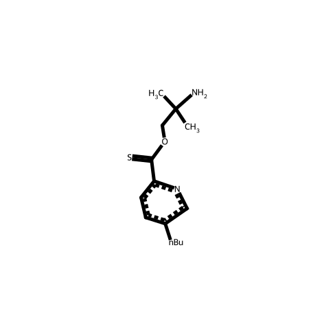 CCCCc1ccc(C(=S)OCC(C)(C)N)nc1